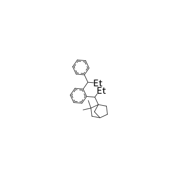 CCC(c1ccccc1)c1ccccc1C(CC)C12CCC(CC1(C)C)C2